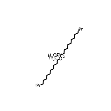 C=C.CC(C)CCCCCCCCCCOCCCCCCCCCCC(C)C.O